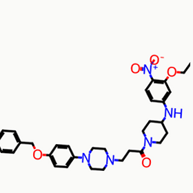 CCOc1cc(NC2CCN(C(=O)CCN3CCN(c4ccc(OCc5ccccc5)cc4)CC3)CC2)ccc1[N+](=O)[O-]